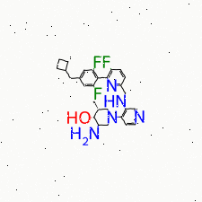 C[C@H]1CN(c2ccncc2NCc2ccc(F)c(-c3c(F)cc(CC4CCC4)cc3F)n2)C[C@@H](N)[C@@H]1O